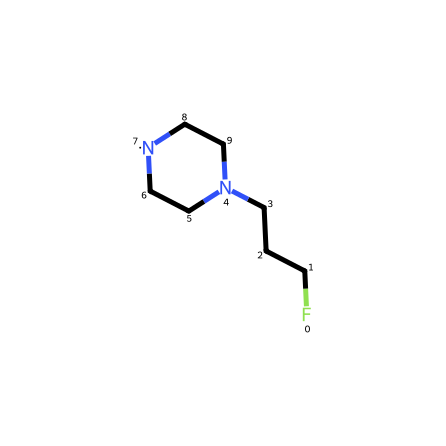 FCCCN1CC[N]CC1